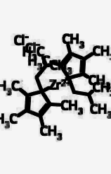 CC1=C(C)[C](CC(C)C)([Zr+2][C]2(CC(C)C)C(C)=C(C)C(C)=C2C)C(C)=C1C.[Cl-].[Cl-]